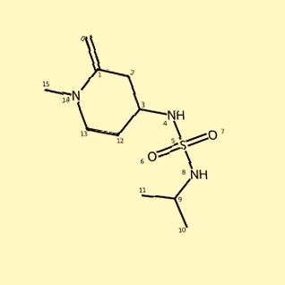 C=C1CC(NS(=O)(=O)NC(C)C)CCN1C